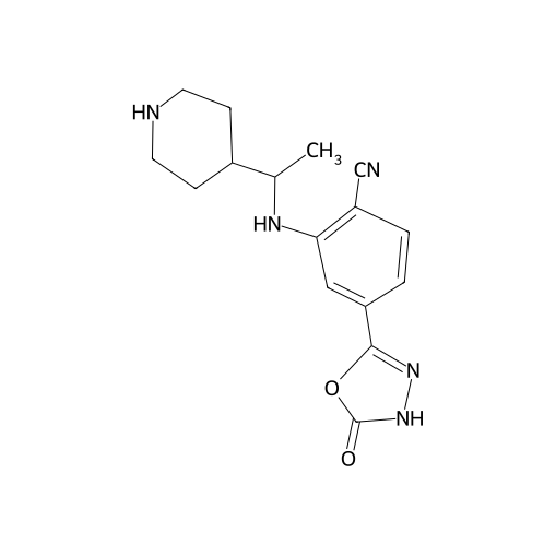 CC(Nc1cc(-c2n[nH]c(=O)o2)ccc1C#N)C1CCNCC1